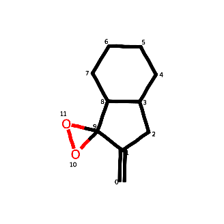 C=C1CC2CCCCC2C12OO2